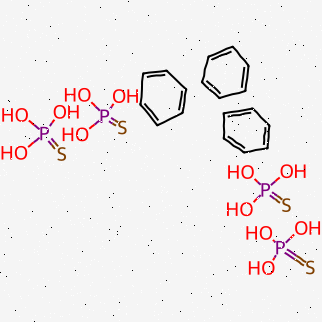 OP(O)(O)=S.OP(O)(O)=S.OP(O)(O)=S.OP(O)(O)=S.c1ccccc1.c1ccccc1.c1ccccc1